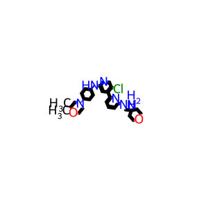 CC1(C)CN([C@H]2CC[C@H](Nc3cc(-c4cccc(NCC5(N)CCOCC5)n4)c(Cl)cn3)CC2)CCO1